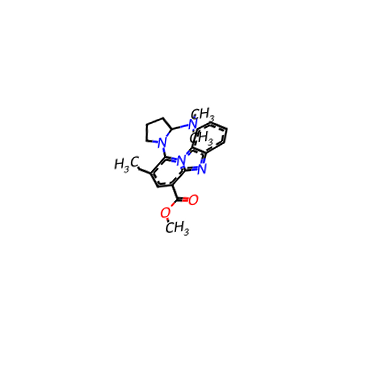 CCc1cc(C(=O)OC)c2nc3ccccc3n2c1N1CCCC1N(C)C